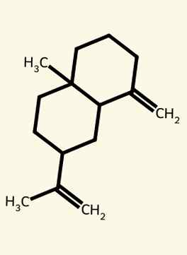 C=C(C)C1CCC2(C)CCCC(=C)C2C1